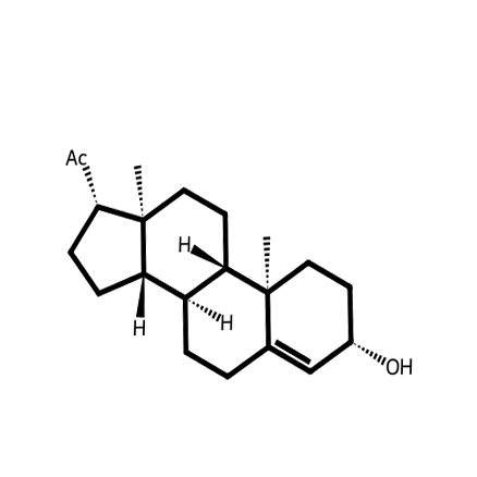 CC(=O)[C@H]1CC[C@H]2[C@@H]3CCC4=C[C@@H](O)CC[C@]4(C)[C@H]3CC[C@]12C